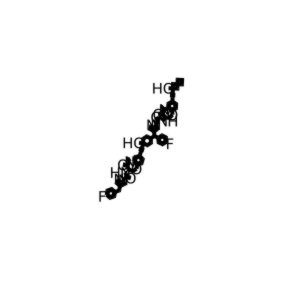 CN1C(=O)C(NC(=O)n2cc(C(c3ccc(F)cc3)C3CCC(O)(C#Cc4ccc5c(c4)N(C)C(=O)[C@H](NC(=O)n4cc(Cc6ccc(F)cc6)cn4)CO5)CC3)cn2)COc2ccc(C#CC3(O)CC4(CCC4)C3)cc21